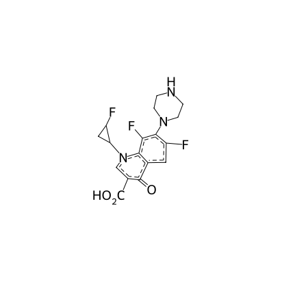 O=C(O)c1cn(C2CC2F)c2c(F)c(N3CCNCC3)c(F)cc2c1=O